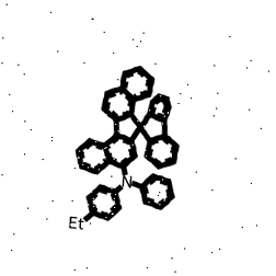 CCc1ccc(N(c2ccccc2)c2cc3c(c4ccccc24)-c2ccc4ccccc4c2C32c3ccccc3-c3ccccc32)cc1